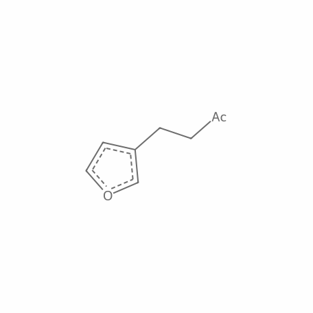 CC(=O)CCc1ccoc1